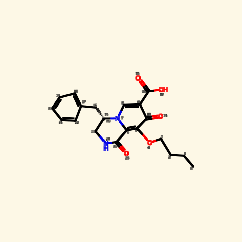 CCCCOc1c2n(cc(C(=O)O)c1=O)[C@@H](Cc1ccccc1)CNC2=O